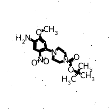 COc1cc(N2CCN(C(=O)OC(C)(C)C)CC2)c([N+](=O)[O-])cc1N